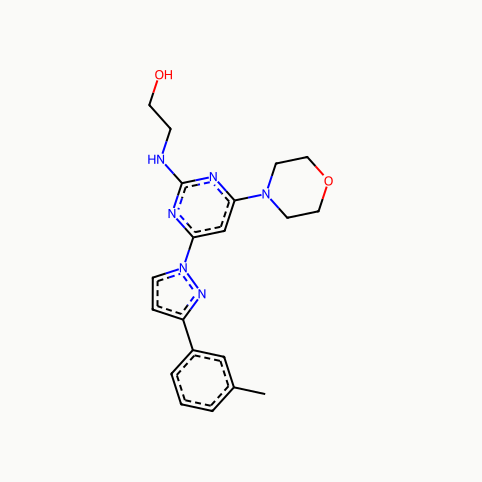 Cc1cccc(-c2ccn(-c3cc(N4CCOCC4)nc(NCCO)n3)n2)c1